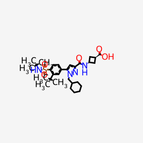 CC(C)(C)NS(=O)(=O)c1ccc(-c2cc(C(=O)N[C@H]3C[C@H](C(=O)O)C3)nn2CC2CCCCC2)cc1C(C)(C)C